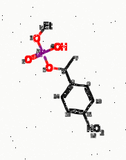 CCOP(=O)(O)OC(C)c1ccc([N+](=O)[O-])cc1